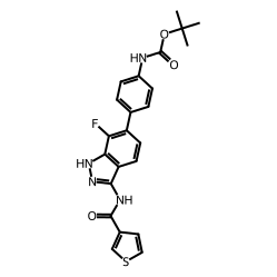 CC(C)(C)OC(=O)Nc1ccc(-c2ccc3c(NC(=O)c4ccsc4)n[nH]c3c2F)cc1